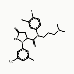 Cc1cc(C(F)(F)F)cc(N2NC(=O)CC2C(=O)N(CCCN(C)C)c2ccc(F)c(Cl)c2)n1